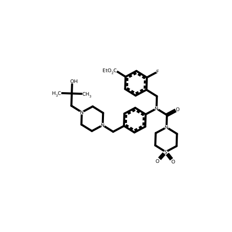 CCOC(=O)c1ccc(CN(C(=O)N2CCS(=O)(=O)CC2)c2ccc(CN3CCN(CC(C)(C)O)CC3)cc2)c(F)c1